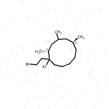 CCC1(CCBr)CCCCC[C@H](C)CC(C)C[C@H]1C